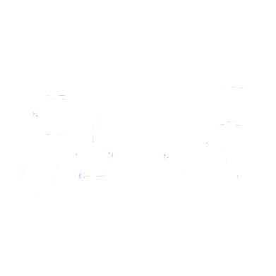 COC1(c2ccccc2)CCN(CCN2C(=O)NC(c3ccccc3)(c3cccnc3)C2=O)CC1